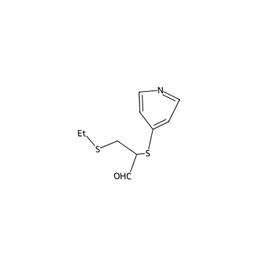 CCSCC(C=O)Sc1ccncc1